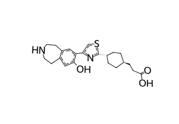 O=C(O)CC[C@H]1CC[C@H](c2nc(-c3cc4c(cc3O)CCNCC4)cs2)CC1